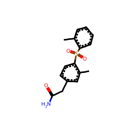 Cc1ccccc1S(=O)(=O)c1ccc(CC(N)=O)cc1C